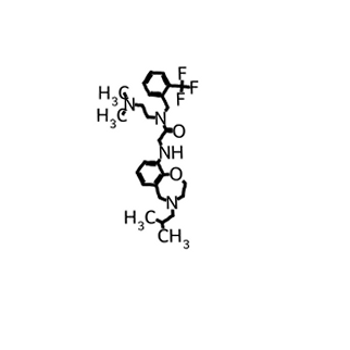 CC(C)CN1CCOc2c(cccc2NCC(=O)N(CCN(C)C)Cc2ccccc2C(F)(F)F)C1